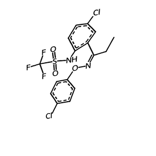 CCC(=NOc1ccc(Cl)cc1)c1cc(Cl)ccc1NS(=O)(=O)C(F)(F)F